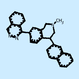 CN1Cc2cc(-c3nncc4ccccc34)ccc2C(c2ccc3ccccc3c2)C1